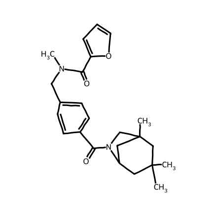 CN(Cc1ccc(C(=O)N2CC3(C)CC2CC(C)(C)C3)cc1)C(=O)c1ccco1